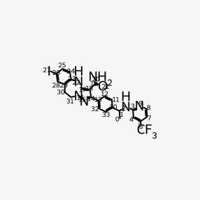 CC(Nc1cc(C(F)(F)F)ccn1)c1ccc(-c2nn3c(c2C(N)=O)Nc2ccc(I)cc2CC3)cc1